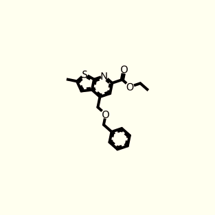 CCOC(=O)c1cc(COCc2ccccc2)c2cc(C)sc2n1